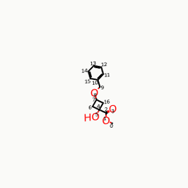 COC(=O)C1(O)CC(OCc2ccccc2)C1